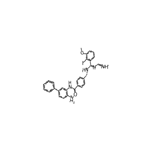 COc1cccc(/C(=N\C=N)NCc2ccc(C(=O)Nc3cc(-c4ccccc4)ccc3N)cc2)c1I